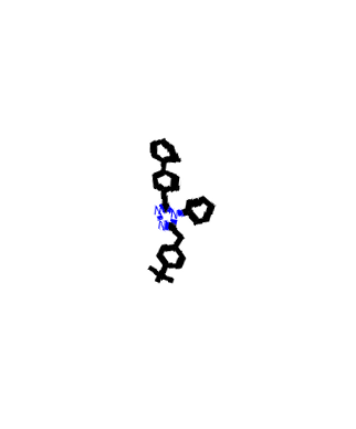 CC(C)(C)c1ccc(Cc2nnc(-c3ccc(-c4ccccc4)cc3)n2-c2ccccc2)cc1